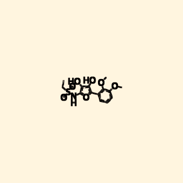 CCS(=O)(=O)Nc1oc(-c2cccc(OC)c2OC)c(O)c1O